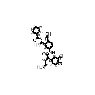 C#Cc1ccc(NC(=O)C(CCN)c2ccc(Cl)c(Cl)c2)cc1C(=N)NC(=O)c1cccnc1